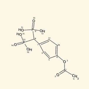 CC(=O)Oc1ccc(C(P(=O)(O)O)P(=O)(O)O)cc1